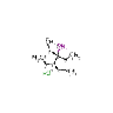 CCC(CC)C(P)(CC)CC.Cl